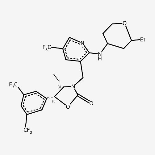 CCC1CC(Nc2ncc(C(F)(F)F)cc2CN2C(=O)O[C@H](c3cc(C(F)(F)F)cc(C(F)(F)F)c3)[C@@H]2C)CCO1